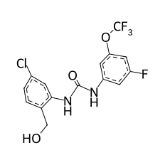 O=C(Nc1cc(F)cc(OC(F)(F)F)c1)Nc1cc(Cl)ccc1CO